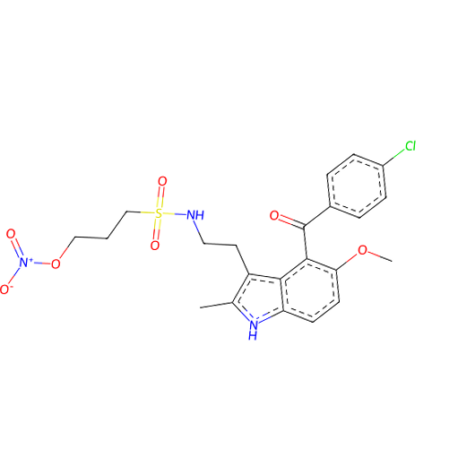 COc1ccc2[nH]c(C)c(CCNS(=O)(=O)CCCO[N+](=O)[O-])c2c1C(=O)c1ccc(Cl)cc1